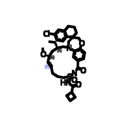 CC[C@@H]1C[C@@H](OC)/C=C/CCC[S@@](=O)(NC(=O)C2CCC2)=NC(=O)c2ccc3c(c2)N(C1)C[C@@]1(CCCc2cc(Cl)ccc21)CO3